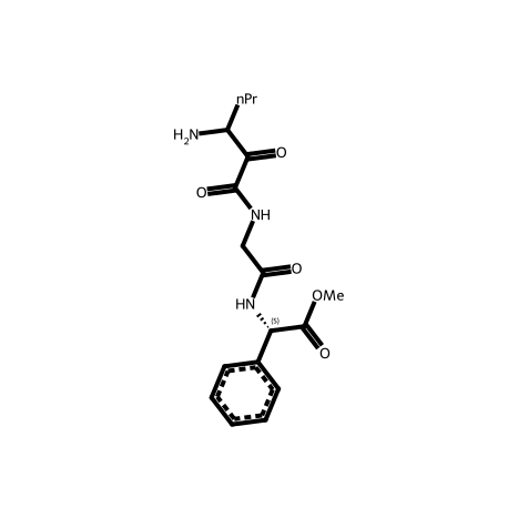 CCCC(N)C(=O)C(=O)NCC(=O)N[C@H](C(=O)OC)c1ccccc1